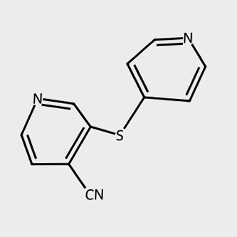 N#Cc1ccncc1Sc1ccncc1